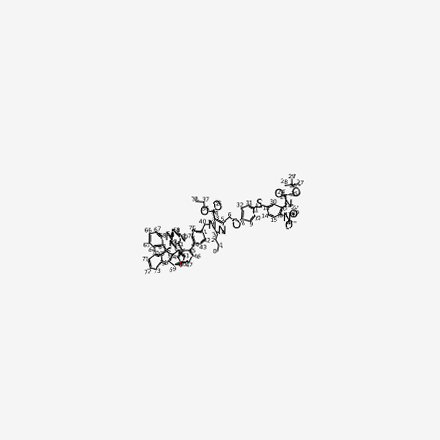 CCCc1nc(COc2ccc(Sc3ccc([N+](=O)[O-])c(N(C)C(=O)OC(C)(C)C)c3)cc2)c(C(=O)OCC)n1Cc1ccc(-c2ccccc2-c2nnnn2C(c2ccccc2)(c2ccccc2)c2ccccc2)cc1